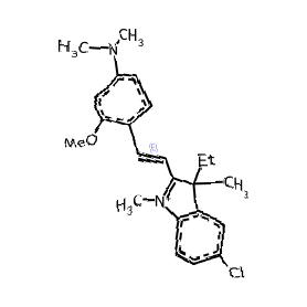 CCC1(C)C(/C=C/c2ccc(N(C)C)cc2OC)=[N+](C)c2ccc(Cl)cc21